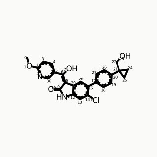 COc1ccc(/C(O)=C2\C(=O)Nc3cc(Cl)c(-c4ccc(C5(CO)CC5)cc4)cc32)cn1